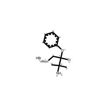 Br.CCCCCCCCCCC(CC)(Oc1ccccc1)C(C)(C)N